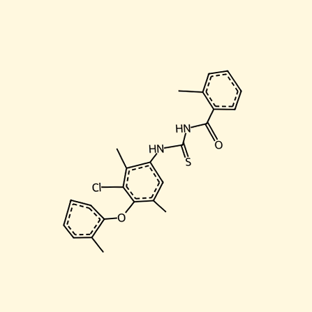 Cc1ccccc1Oc1c(C)cc(NC(=S)NC(=O)c2ccccc2C)c(C)c1Cl